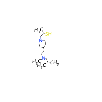 CC(C)CN(C)CCC1CCN(CC(C)S)CC1